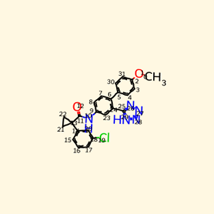 COc1ccc(-c2ccc(NC(=O)C3(c4cccc(Cl)c4)CC3)cc2-c2nnn[nH]2)cc1